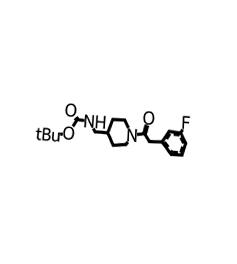 CC(C)(C)OC(=O)NCC1CCN(C(=O)Cc2cccc(F)c2)CC1